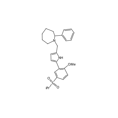 COc1ccc(S(=O)(=O)C(C)C)cc1-c1ccc(CN2CCCCCC2c2ccccc2)[nH]1